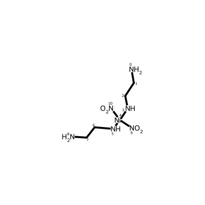 NCC[NH][Ni]([NH]CCN)([N+](=O)[O-])[N+](=O)[O-]